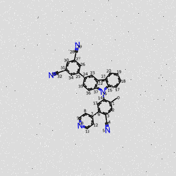 Cc1cc(C#N)c(-c2ccncc2)cc1-n1c2ccccc2c2cc(-c3cc(C#N)cc(C#N)c3)ccc21